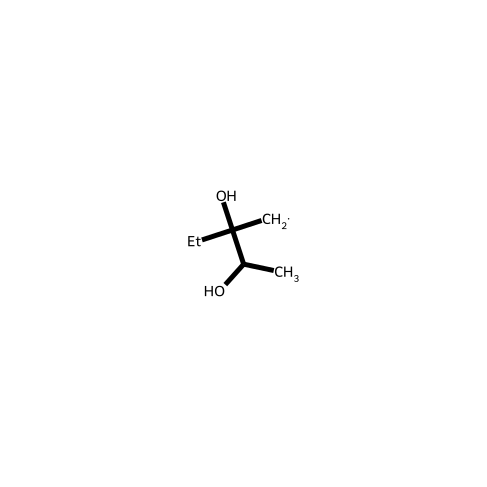 [CH2]C(O)(CC)C(C)O